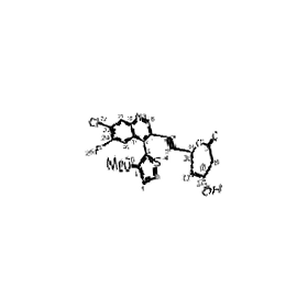 COc1ccsc1-c1c(C=C[C@@H]2C[C@@H](O)CC(=O)O2)cnc2cc(Cl)c(F)cc12